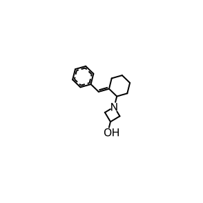 OC1CN(C2CCCCC2=Cc2ccccc2)C1